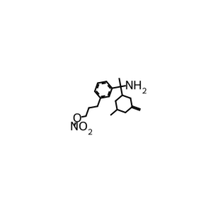 C=C1CC(C)CC(C(C)(N)c2cccc(CCCO[N+](=O)[O-])c2)C1